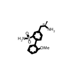 COc1ccccc1-c1ccc(C[C@@H](C)N)cc1S(N)(=O)=O